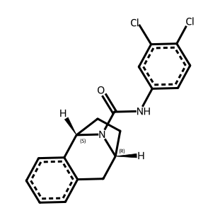 O=C(Nc1ccc(Cl)c(Cl)c1)N1[C@@H]2CC[C@H]1c1ccccc1C2